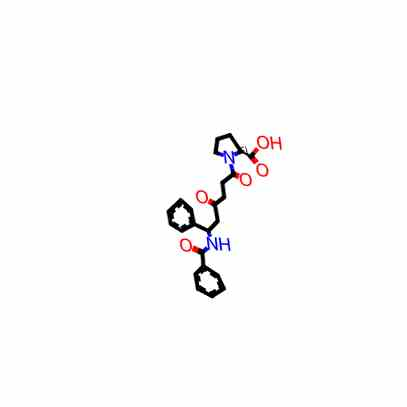 O=C(CCC(=O)N1CCC[C@H]1C(=O)O)CC(NC(=O)c1ccccc1)c1ccccc1